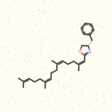 CC(C)=CCCC(C)=CCCC(C)=CCCC(C)=CC1=N[C@@H](Cc2ccccc2)CO1